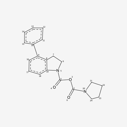 O=C(OC(=O)N1CCc2c(-c3ccccc3)cccc21)N1CCCC1